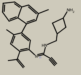 C#C/C(=N/c1cc(-c2cc(C)cc3ccccc23)c(C)cc1C(=C)C)NCC1CC(N)C1